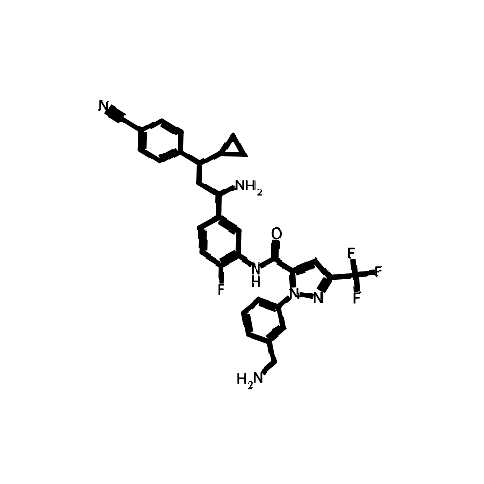 N#Cc1ccc(C(CC(N)c2ccc(F)c(NC(=O)c3cc(C(F)(F)F)nn3-c3cccc(CN)c3)c2)C2CC2)cc1